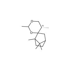 CC1OC[C@H](C)C2(CC3CCC2(C)C3(C)C)O1